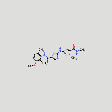 CNC(=O)c1cc(Nc2ncc(C(=O)Nc3c(C)ccc(OC)c3C)s2)nn1C